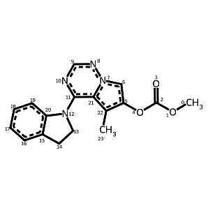 COC(=O)Oc1cn2ncnc(N3CCc4ccccc43)c2c1C